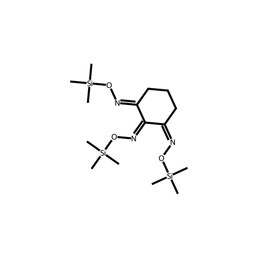 C[Si](C)(C)ON=C1CCCC(=NO[Si](C)(C)C)C1=NO[Si](C)(C)C